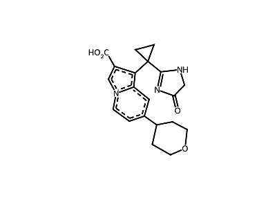 O=C1CNC(C2(c3c(C(=O)O)cn4ccc(C5CCOCC5)cc34)CC2)=N1